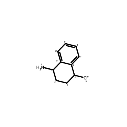 NC1CCC(C(F)(F)F)c2ccccc21